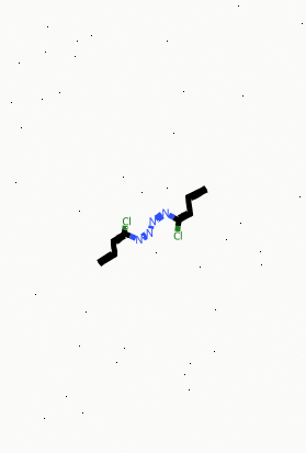 C=C\C=C(Cl)/N=N\N=N/C(Cl)=C\C=C